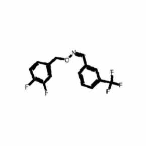 Fc1ccc(CO/N=[C]\c2cccc(C(F)(F)F)c2)cc1F